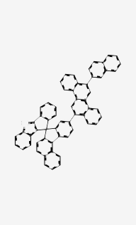 c1ccc2c(c1)-c1oc3ccccc3c1C21c2cc(-c3cc4c5ccccc5c(-c5ccc6ccccc6c5)cc4c4ccccc34)ccc2-c2c1ccc1ccccc21